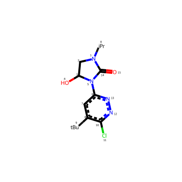 CC(C)N1CC(O)N(c2cc(C(C)(C)C)c(Cl)nn2)C1=O